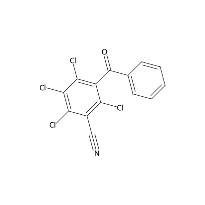 N#Cc1c(Cl)c(Cl)c(Cl)c(C(=O)c2ccccc2)c1Cl